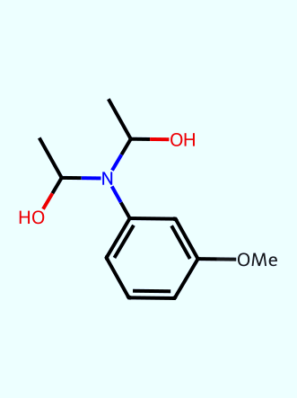 COc1cccc(N(C(C)O)C(C)O)c1